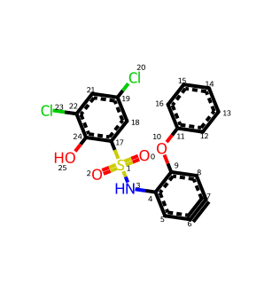 O=S(=O)(Nc1cc#ccc1Oc1ccccc1)c1cc(Cl)cc(Cl)c1O